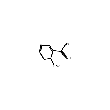 CNC1CC=CC=C1C(=N)C(C)C